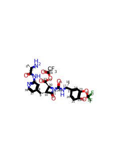 C[C@H](N)C(=O)Nc1cc(C[C@H]2C(=O)N(C(=O)N[C@H](C)c3ccc4c(c3)OC(F)(F)O4)[C@@H]2C(=O)OC(=O)C(F)(F)F)ccn1